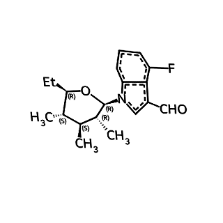 CC[C@H]1O[C@@H](n2cc(C=O)c3c(F)cccc32)[C@H](C)[C@@H](C)[C@@H]1C